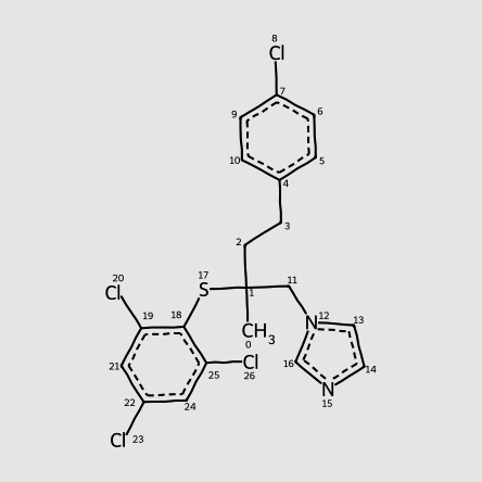 CC(CCc1ccc(Cl)cc1)(Cn1ccnc1)Sc1c(Cl)cc(Cl)cc1Cl